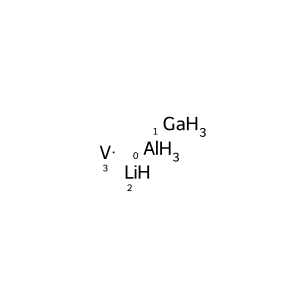 [AlH3].[GaH3].[LiH].[V]